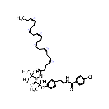 CC/C=C\C/C=C\C/C=C\C/C=C\C/C=C\C/C=C\CCC(=O)NN(C(=O)C(C)(C)Oc1ccc(CCNC(=O)c2ccc(Cl)cc2)cc1)C(C)(C)C